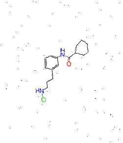 O=C(Nc1cccc(CCCNCl)c1)C1CCCCC1